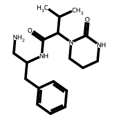 CC(C)C(C(=O)NC(CN)Cc1ccccc1)N1CCCNC1=O